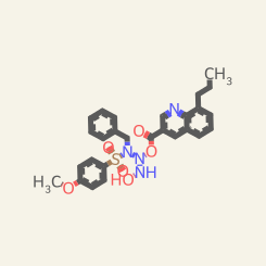 CCCc1cccc2cc(C(=O)ON(NO)N(Cc3ccccc3)S(=O)(=O)c3ccc(OC)cc3)cnc12